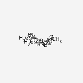 CC(=O)c1ccn2nc(NC(=O)Cc3ccc(-c4ccnc(C)c4)c(C)c3)cc2c1